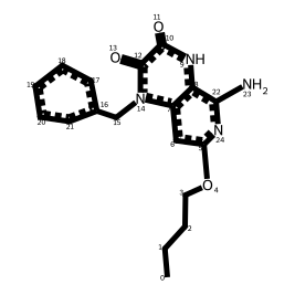 CCCCOc1cc2c([nH]c(=O)c(=O)n2Cc2ccccc2)c(N)n1